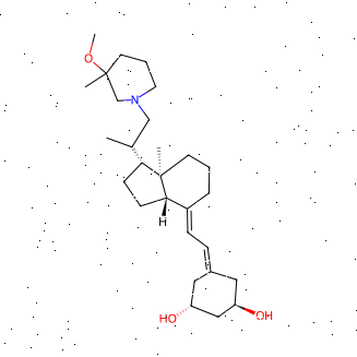 COC1(C)CCCN(CC(C)[C@H]2CC[C@H]3/C(=C/C=C4C[C@@H](O)C[C@H](O)C4)CCC[C@]23C)C1